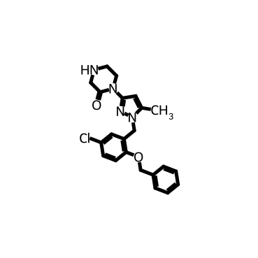 Cc1cc(N2CCNCC2=O)nn1Cc1cc(Cl)ccc1OCc1ccccc1